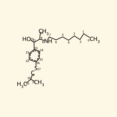 CCCCCCCCNC(C)C(O)c1ccc(SCC(C)C)cc1